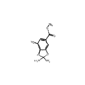 CC(C)(C)OC(=O)c1cc(O)c2c(c1)OC(N)(N)O2